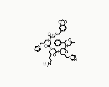 CC(=O)CN(C(=O)CN(CCCn1ccnc1)C(=O)CN(CCCCN)C(=O)CN(CCCn1ccnc1)C(=O)CNCc1ccc2c(c1)OCO2)C(C)c1ccccc1